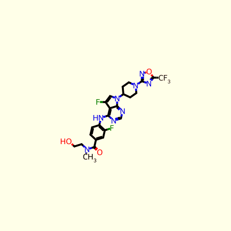 CN(CCO)C(=O)c1ccc(Nc2ncnc3c2c(F)cn3C2CCN(c3noc(C(F)(F)F)n3)CC2)c(F)c1